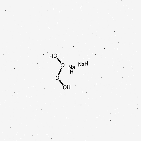 OOOO.[NaH].[NaH]